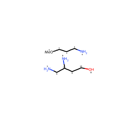 COCCCN.NCC(N)CCO